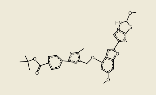 COc1cc(OCc2nc(-c3ccc(C(=O)OC(C)(C)C)cc3)sc2C)c2cc(-c3cn4c(n3)SC(OC)N4)oc2c1